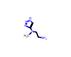 CN(CCN)c1c[nH]nn1